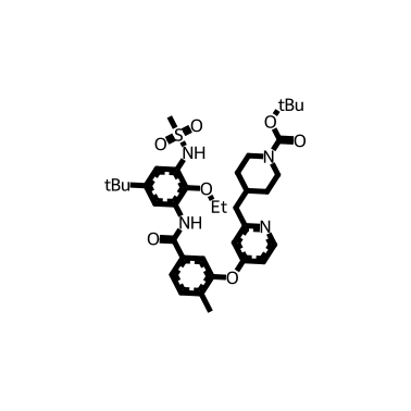 CCOc1c(NC(=O)c2ccc(C)c(Oc3ccnc(CC4CCN(C(=O)OC(C)(C)C)CC4)c3)c2)cc(C(C)(C)C)cc1NS(C)(=O)=O